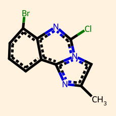 Cc1cn2c(Cl)nc3c(Br)cccc3c2n1